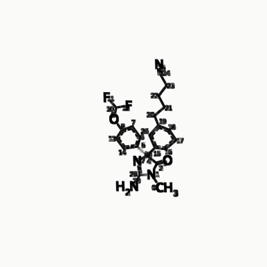 CN1C(=O)[C@](c2ccc(OC(F)F)cc2)(c2cccc(CCCCC#N)c2)N=C1N